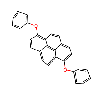 c1ccc(Oc2ccc3ccc4c(Oc5ccccc5)ccc5ccc2c3c54)cc1